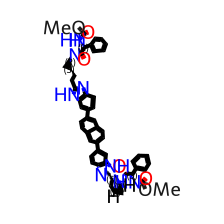 COC(=O)N[C@H](C(=O)N1[C@@H]2C[C@@H]2C[C@H]1c1nc2ccc(-c3ccc4cc(-c5ccc6nc(CC[C@H]7C[C@H]7NC(=O)[C@H](NC(=O)OC)c7ccccc7)[nH]c6c5)ccc4c3)cc2[nH]1)c1ccccc1